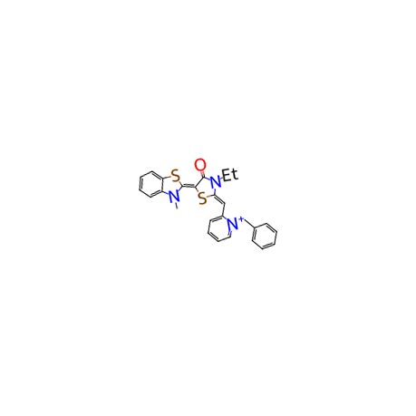 CCn1c(=O)/c(=C2\Sc3ccccc3N2C)s/c1=C\c1cccc[n+]1Cc1ccccc1